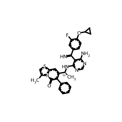 Cc1csc2cc([C@H](C)Nc3ncnc(N)c3C(=N)c3ccc(OC4CC4)c(F)c3)c(-c3ccccc3)c(=O)n12